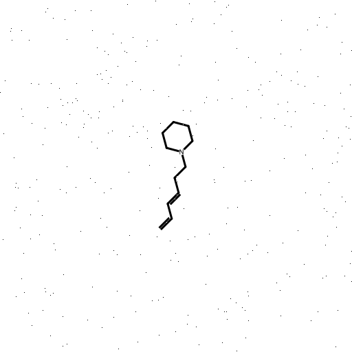 C=CC=CCCN1CCCCC1